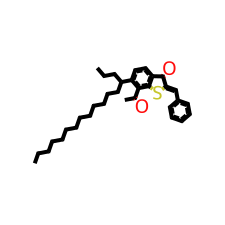 CCCCCCCCCCCCCC(CCC)c1ccc2c(c1C(C)=O)SC(=Cc1ccccc1)C2=O